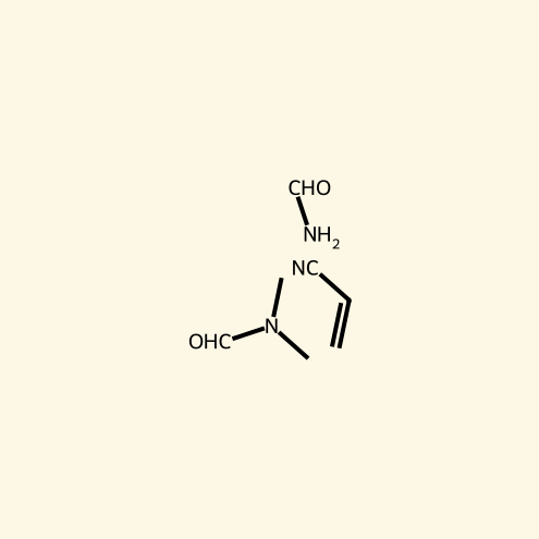 C=CC#N.CN(C)C=O.NC=O